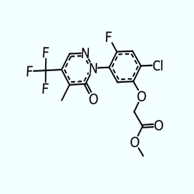 COC(=O)COc1cc(-n2ncc(C(F)(F)F)c(C)c2=O)c(F)cc1Cl